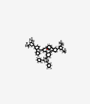 FC(F)(F)c1cc(-c2ccc3c(c2)c2ccccc2n3-c2ccnc(-c3cc(-c4nc(-c5ccccc5)nc(-c5ccccc5)n4)ccc3-n3c4ccccc4c4cc(-c5cc(C(F)(F)F)cc(C(F)(F)F)c5)ccc43)c2)cc(C(F)(F)F)c1